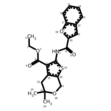 CCOC(=O)c1c(NC(=O)c2cc3ccccc3o2)sc2c1CC(C)(C)OC2